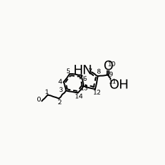 CCCc1ccc2[nH]c(C(=O)O)cc2c1